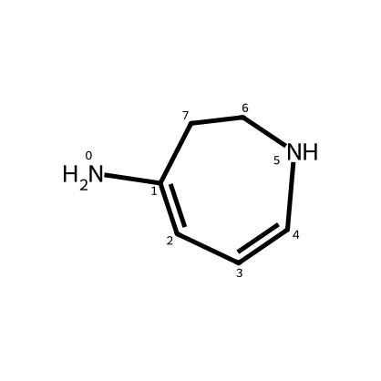 NC1=CC=CNCC1